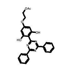 CC(=O)OCCOc1cc(O)c(-c2nc(-c3ccccc3)nc(-c3ccccc3)n2)c(O)c1